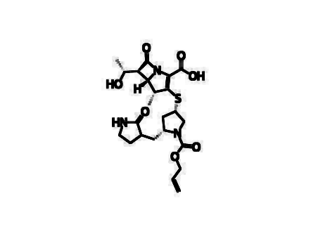 C=CCOC(=O)N1C[C@@H](SC2=C(C(=O)O)N3C(=O)[C@H]([C@@H](C)O)[C@H]3[C@H]2C)C[C@H]1CC1CCNC1=O